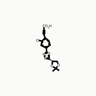 CC1(C)OC[C@H](c2nnc(-c3ccc(C#CC(=O)O)c(Cl)c3)o2)O1